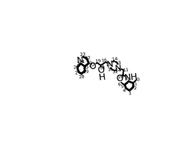 Cc1cccc(C)c1NC(=O)CN1CCN(CC(O)COc2ccnc3ccccc23)CC1